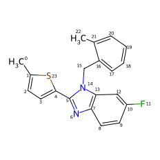 Cc1ccc(-c2nc3ccc(F)cc3n2Cc2ccccc2C)s1